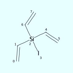 C=C[Si](I)(C=C)C=C